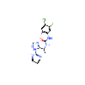 C[C@H](NC(=O)Nc1cc(F)c(Cl)cc1I)c1ncnn1-c1ncccn1